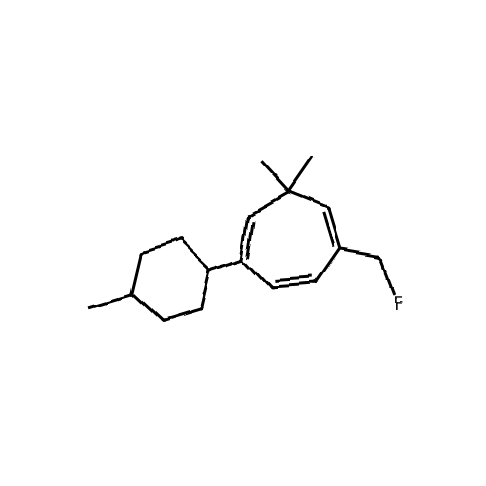 CC1CCC(C2=CC(C)(C)C=C(CF)C=C2)CC1